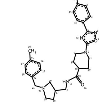 CC(=O)Nc1ccc(-c2noc(N3CCC(C(=O)NCC4CCN(Cc5ccc(C)cc5)C4)CC3)n2)cc1